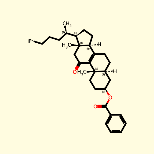 CC(C)CCC[C@@H](C)[C@H]1CC[C@H]2C3=C(C(=O)C[C@]12C)[C@@]1(C)CC[C@H](OC(=O)c2ccccc2)C[C@@H]1CC3